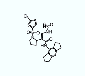 O=C(Nc1c2c(cc3c1CCC3)CCC2)C(=CN[SH](=O)=O)C1CCCN1S(=O)(=O)c1ccc(Cl)s1